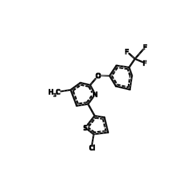 Cc1cc(Oc2cccc(C(F)(F)F)c2)nc(-c2ccc(Cl)s2)c1